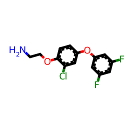 NCCOc1ccc(Oc2cc(F)cc(F)c2)cc1Cl